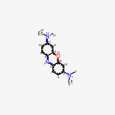 CCN(C)c1ccc2nc3cc/c(=[N+](/C)CC)cc-3oc2c1